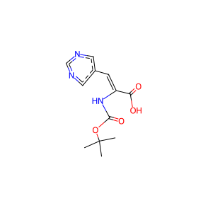 CC(C)(C)OC(=O)NC(=Cc1cncnc1)C(=O)O